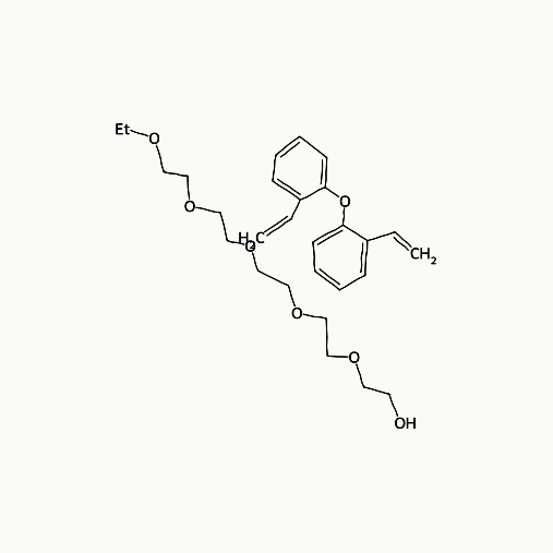 C=Cc1ccccc1Oc1ccccc1C=C.CCOCCOCCOCCOCCOCCO